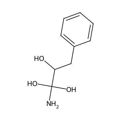 NC(O)(O)C(O)Cc1ccccc1